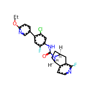 CCOc1ccc(-c2cc(F)c(NC(=O)N3[C@H]4CC[C@@H]3c3ccnc(F)c3C4)cc2Cl)cn1